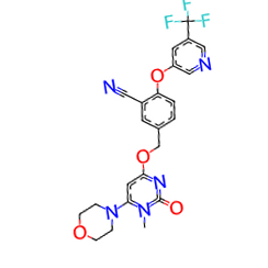 Cn1c(N2CCOCC2)cc(OCc2ccc(Oc3cncc(C(F)(F)F)c3)c(C#N)c2)nc1=O